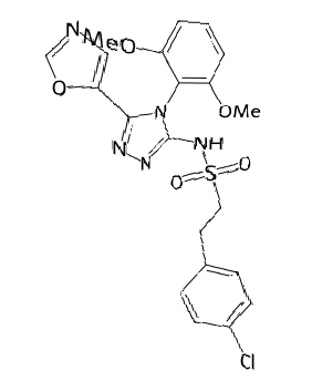 COc1cccc(OC)c1-n1c(NS(=O)(=O)CCc2ccc(Cl)cc2)nnc1-c1cnco1